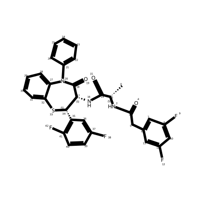 C[C@H](NC(=O)Cc1cc(F)cc(F)c1)C(=O)N[C@H]1C(=O)N(c2ccccc2)c2ccccc2S[C@H]1c1cc(F)ccc1F